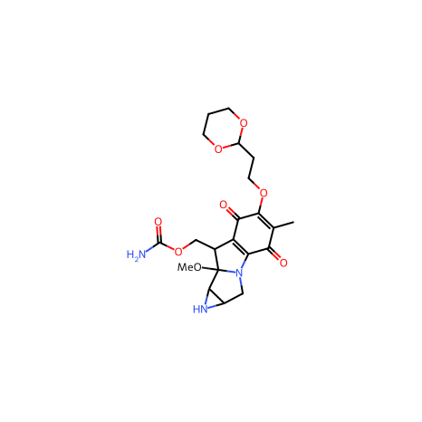 COC12C(COC(N)=O)C3=C(C(=O)C(C)=C(OCCC4OCCCO4)C3=O)N1CC1NC12